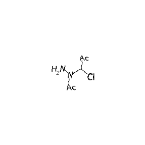 CC(=O)C(Cl)N(N)C(C)=O